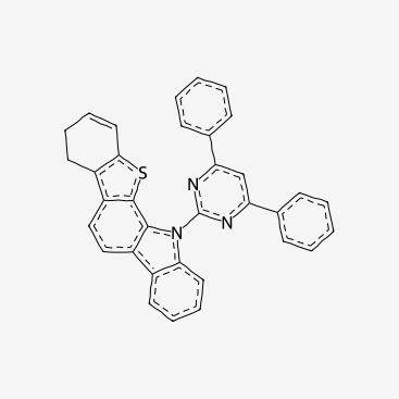 C1=Cc2sc3c(ccc4c5ccccc5n(-c5nc(-c6ccccc6)cc(-c6ccccc6)n5)c43)c2CC1